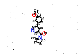 CCOc1cccc(-c2cncc(C(=O)N3CCCC3C)c2)c1